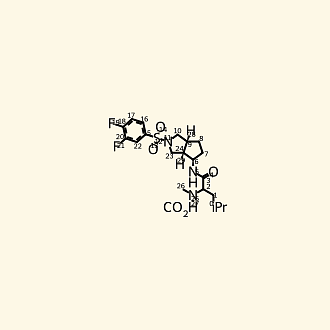 CC(C)CC(C(=O)N[C@@H]1CC[C@H]2CN(S(=O)(=O)c3ccc(F)c(F)c3)C[C@H]21)N(C)C(=O)O